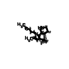 COCCCn1c(C)cc(C(F)(F)F)c1[C@@H]1CCCNC1